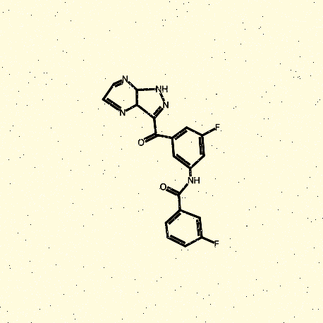 O=C(Nc1cc(F)cc(C(=O)C2=NNC3N=CC=NC23)c1)c1cccc(F)c1